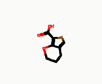 O=C(O)c1scc2c1OCCC2